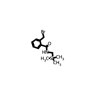 C[Si](C)(C)CNC(=O)c1ccccc1CBr